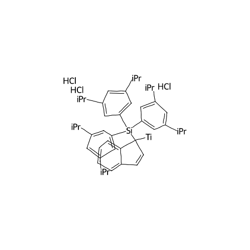 CC(C)c1cc(C(C)C)cc([Si](c2cc(C(C)C)cc(C(C)C)c2)(c2cc(C(C)C)cc(C(C)C)c2)[C]2([Ti])C=Cc3ccccc32)c1.Cl.Cl.Cl